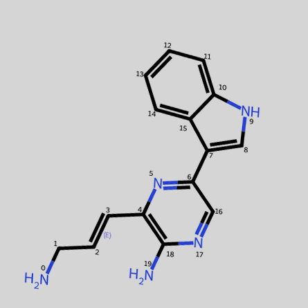 NC/C=C/c1nc(-c2c[nH]c3ccccc23)cnc1N